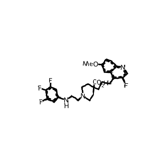 COc1ccc2ncc(F)c(CCCC3(C(=O)O)CCN(CCNc4cc(F)c(F)c(F)c4)CC3)c2c1